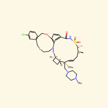 CCCCN1CCN(C[C@]2(OC)/C=C/C[C@H](C)[C@@H](C)S(=O)(=O)NC(=O)c3ccc4c(c3)N(CCCCc3cc(Cl)ccc3CO4)C[C@@H]3CC[C@H]32)CC1